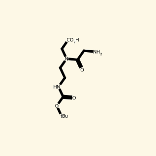 CC(C)(C)OC(=O)NCCN(CC(=O)O)C(=O)CN